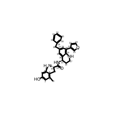 Cc1cc(O)cc(C)c1C[C@H](N)C(=O)N[C@@H]1CCNc2c(-c3ccoc3)cc(Cc3ccccc3)cc21